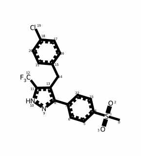 CS(=O)(=O)c1ccc(-c2n[nH]c(C(F)(F)F)c2Cc2ccc(Cl)cc2)cc1